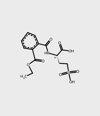 CCOC(=O)c1ccccc1C(=O)N[C@@H](CCS(=O)(=O)O)C(=O)O